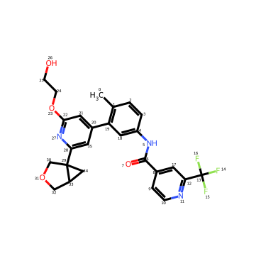 Cc1ccc(NC(=O)c2ccnc(C(F)(F)F)c2)cc1-c1cc(OCCO)nc(C23COCC2C3)c1